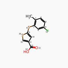 Cc1ccc(F)cc1Sc1cc(C(=O)O)cs1